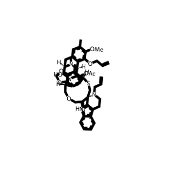 C=CCOc1c(OC)c(C)cc2c1[C@H]1C3[C@@H]4SC[C@]5(C(=O)COC[C@@H](c6c7c(c(C)c(OC(C)=O)c64)OCO7)N3[C@@H](O)[C@@H](C2)N1C)c1[nH]c2ccccc2c1CCN5CC=C